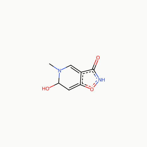 CN1C=c2c(=O)[nH]oc2=CC1O